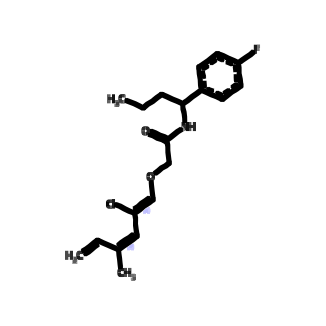 C=C/C(C)=C\C(Cl)=C\OCC(=O)NC(CCC)c1ccc(F)cc1